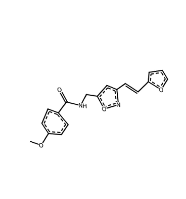 COc1ccc(C(=O)NCc2cc(/C=C/c3ccco3)no2)cc1